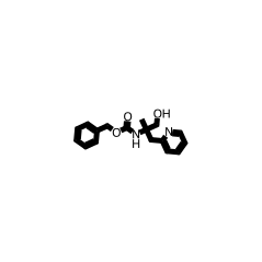 CC(CO)(Cc1ccccn1)NC(=O)OCc1ccccc1